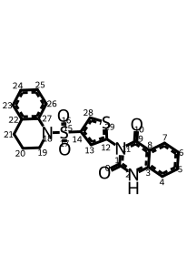 O=c1[nH]c2ccccc2c(=O)n1-c1cc(S(=O)(=O)N2CCCc3ccccc32)cs1